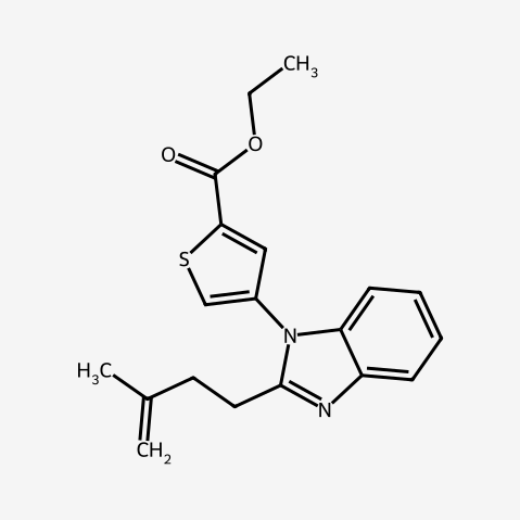 C=C(C)CCc1nc2ccccc2n1-c1csc(C(=O)OCC)c1